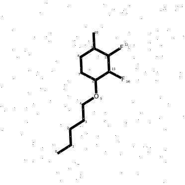 CCCCCOC1CCC(C)C(F)C1F